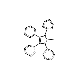 CC1N(c2ccccc2)C(c2ccccc2)=C(c2ccccc2)N1c1ccccc1